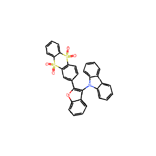 O=S1(=O)c2ccccc2S(=O)(=O)c2cc(-c3oc4ccccc4c3-n3c4ccccc4c4ccccc43)ccc21